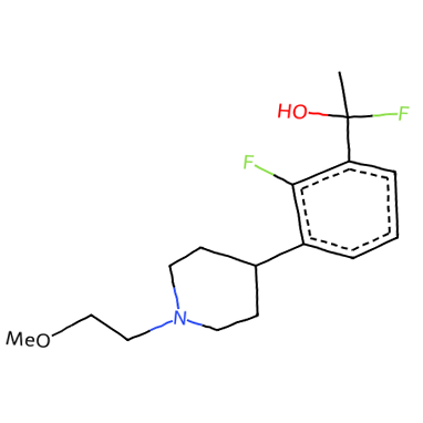 COCCN1CCC(c2cccc(C(C)(O)F)c2F)CC1